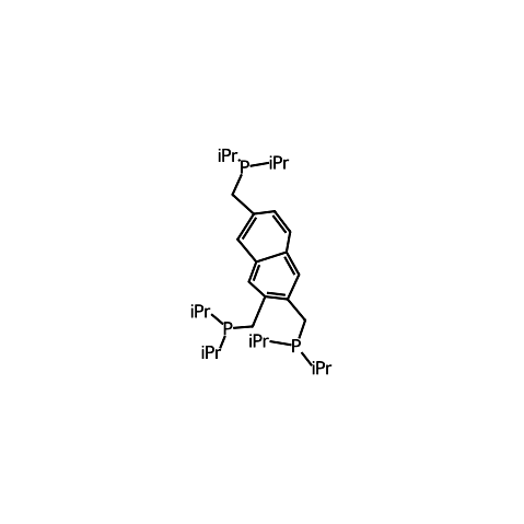 CC(C)P(Cc1ccc2cc(CP(C(C)C)C(C)C)c(CP(C(C)C)C(C)C)cc2c1)C(C)C